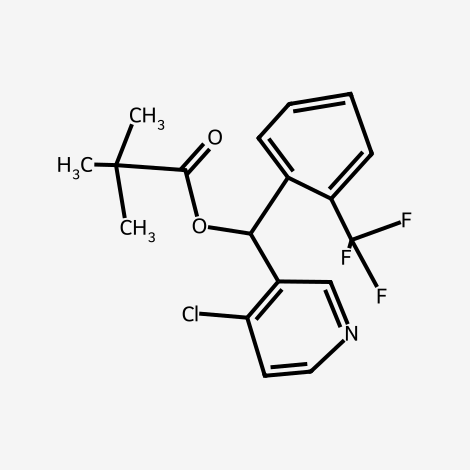 CC(C)(C)C(=O)OC(c1cnccc1Cl)c1ccccc1C(F)(F)F